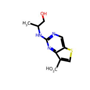 CC(CO)Nc1ncc2scc(C(=O)O)c2n1